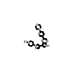 CCN1CCC(n2cc(-c3c[nH]c4ncc(-c5ccc(N6CCOCC6)nc5)nc34)cn2)CC1